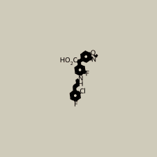 O=C(O)C(c1ccc(NCC=Cc2ccc(F)cc2Cl)c(F)c1)c1ccc2ocnc2c1